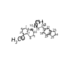 COc1cccc2c1CCC[C@H]2CN(C)CCc1ccc2c(c1)CCC2